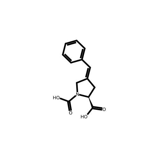 O=C(O)[C@@H]1CC(=Cc2ccccc2)CN1C(=O)O